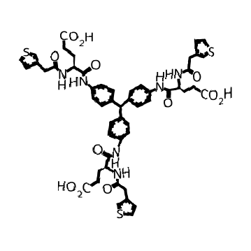 O=C(O)CC[C@H](NC(=O)Cc1ccsc1)C(=O)Nc1ccc(C(c2ccc(NC(=O)[C@H](CCC(=O)O)NC(=O)Cc3ccsc3)cc2)c2ccc(NC(=O)[C@H](CCC(=O)O)NC(=O)Cc3ccsc3)cc2)cc1